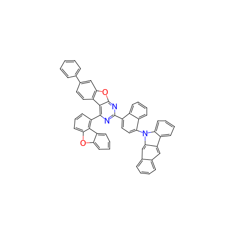 c1ccc(-c2ccc3c(c2)oc2nc(-c4ccc(-n5c6ccccc6c6cc7ccccc7cc65)c5ccccc45)nc(-c4cccc5oc6ccccc6c45)c23)cc1